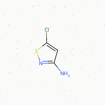 Nc1cc(Cl)sn1